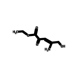 CCOC(=O)C(=O)/C=C(\N)CO